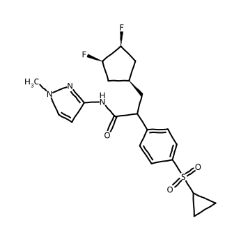 Cn1ccc(NC(=O)C(C[C@H]2C[C@@H](F)[C@@H](F)C2)c2ccc(S(=O)(=O)C3CC3)cc2)n1